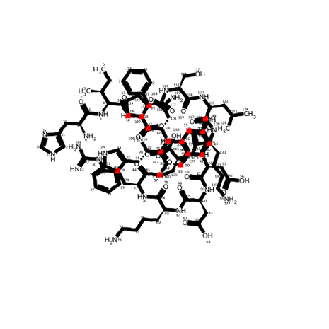 CC[C@H](C)[C@H](NC(=O)[C@@H](N)Cc1c[nH]cn1)C(=O)N[C@@H](Cc1ccccc1)C(=O)N[C@@H](Cc1c[nH]c2ccccc12)C(=O)N[C@@H](CC(=O)O)C(=O)N[C@@H](CC(=O)O)C(=O)N[C@@H](CC(=O)O)C(=O)N[C@@H](CCCCN)C(=O)N[C@@H](CCCNC(=N)N)C(=O)N[C@@H](Cc1ccc(O)cc1)C(=O)N[C@@H](CC(N)=O)C(=O)N1CCC[C@H]1C(=O)N[C@@H](CO)C(=O)N[C@@H](CC(C)C)C(=O)N[C@@H](CCCCN)C(=O)N[C@@H](CO)C(=O)O